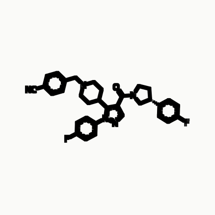 N#Cc1ccc(CN2CCC(c3c(C(=O)N4CC[C@H](c5ccc(F)cc5)C4)cnn3-c3ccc(F)cc3)CC2)cc1